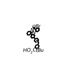 CC(C)(C)C1(C(=O)O)CCC(CN2CCC(c3ccc4c(c3)-n3c(nc(=O)c5c(Br)cccc53)C43CCCCC3)CC2)CC1